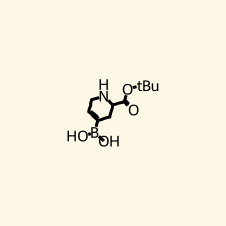 CC(C)(C)OC(=O)C1CC(B(O)O)=CCN1